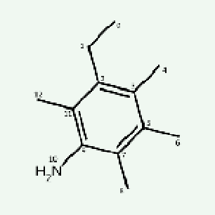 CCc1c(C)c(C)c(C)c(N)c1C